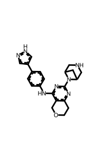 c1cc(-c2cn[nH]c2)ccc1Nc1nc(N2C3CNCC2C3)nc2c1COCC2